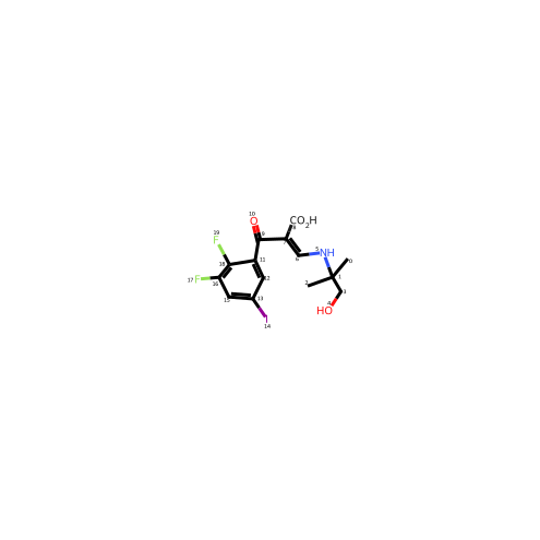 CC(C)(CO)NC=C(C(=O)O)C(=O)c1cc(I)cc(F)c1F